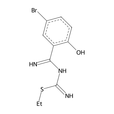 CCSC(=N)NC(=N)c1cc(Br)ccc1O